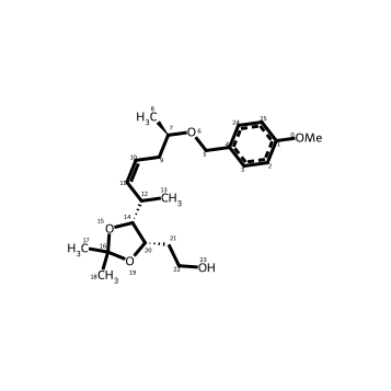 COc1ccc(CO[C@H](C)C/C=C\C(C)[C@H]2OC(C)(C)O[C@H]2CCO)cc1